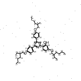 CCCCC(C)COc1ccc(-c2nc(-c3ccc(OCC(CC)CCCC)cc3)nc(-c3ccc(OCC(CC)CCCC)cc3O)n2)cc1